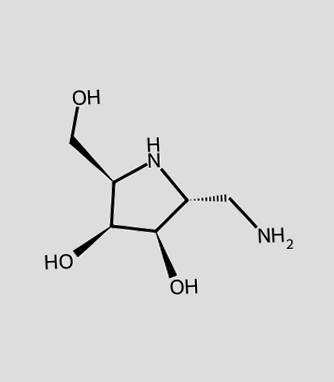 NC[C@H]1N[C@H](CO)[C@H](O)[C@@H]1O